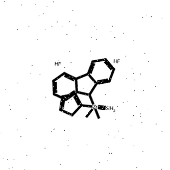 F.F.[CH3][Zr]([CH3])(=[SiH2])([C]1=CC=CC1)[CH]1c2ccccc2-c2ccccc21